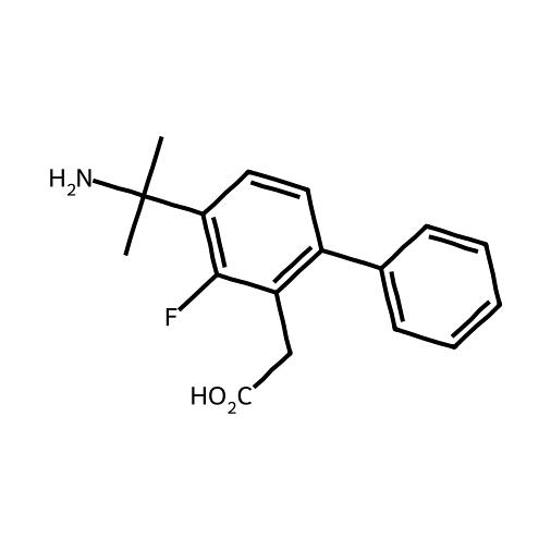 CC(C)(N)c1ccc(-c2ccccc2)c(CC(=O)O)c1F